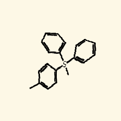 Cc1ccc(S(C)(c2ccccc2)c2ccccc2)cc1